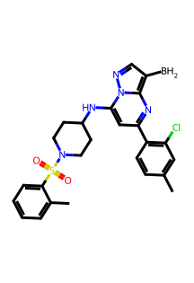 Bc1cnn2c(NC3CCN(S(=O)(=O)c4ccccc4C)CC3)cc(-c3ccc(C)cc3Cl)nc12